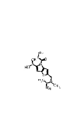 CC(N(C)Cc1cc2c(cc(B(O)O)n2C(=O)OC(C)(C)C)s1)C(C)(C)C